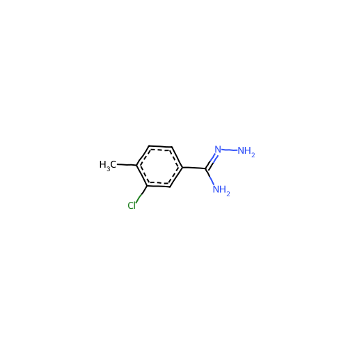 Cc1ccc(/C(N)=N/N)cc1Cl